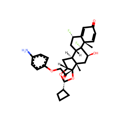 C[C@]12C=CC(=O)C=C1[C@@H](F)C[C@H]1[C@@H]3C[C@H]4O[C@@H](C5CCC5)O[C@@]4(C(=O)COc4ccc(N)cc4)[C@@]3(C)C[C@H](O)[C@@]12F